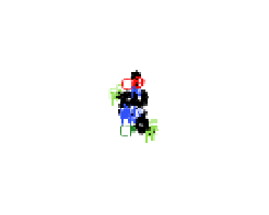 Cc1cc2c(cc1C(F)(F)F)N(C(=O)OC(C)(C)C)CCC[C@@H]2N(Cc1cc(Cl)cc(C(F)(F)F)c1)c1nnn(C)n1